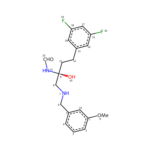 COc1cccc(CNC[C@@](O)(CCc2cc(F)cc(F)c2)NC=O)c1